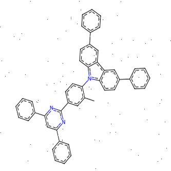 Cc1cc(-c2nc(-c3ccccc3)cc(-c3ccccc3)n2)ccc1-n1c2ccc(-c3ccccc3)cc2c2cc(-c3ccccc3)ccc21